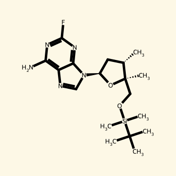 C[C@H]1C[C@H](n2cnc3c(N)nc(F)nc32)O[C@]1(C)CO[Si](C)(C)C(C)(C)C